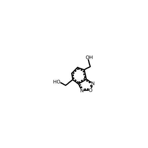 OCc1ccc(CO)c2nonc12